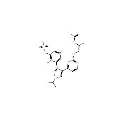 CC(CNc1nccc(-c2cn(C(C)C)nc2-c2cc(Cl)cc(NS(C)(=O)=O)c2F)n1)NC(=O)O